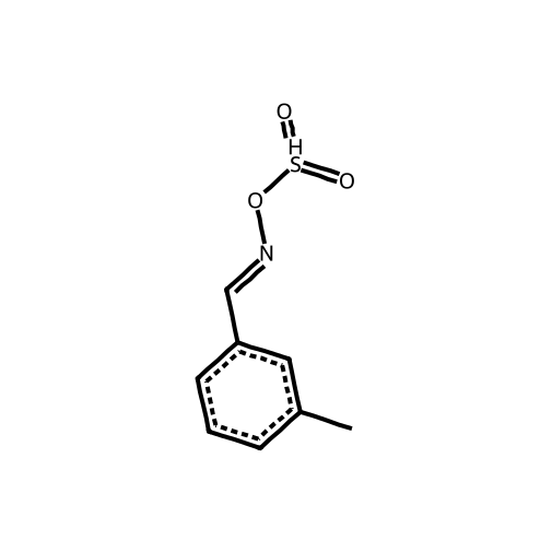 Cc1cccc(C=NO[SH](=O)=O)c1